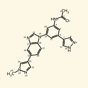 CC(=O)Nc1cc(-c2cn[nH]c2)cc(-n2cnc3cc(-c4cnn(C)c4)ccc32)c1